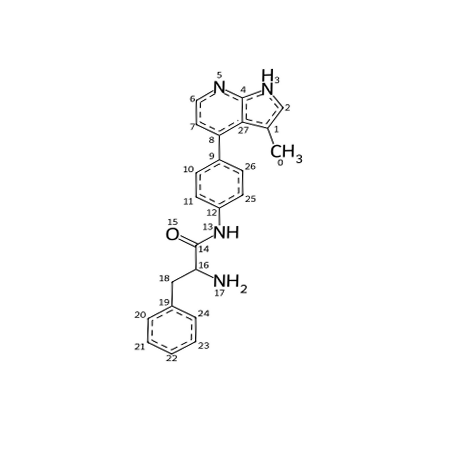 Cc1c[nH]c2nccc(-c3ccc(NC(=O)C(N)Cc4ccccc4)cc3)c12